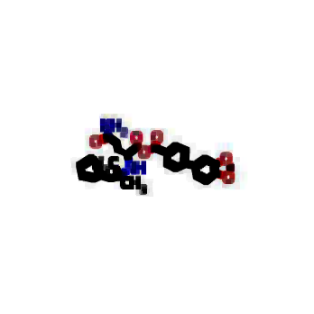 CC(C)(Cc1ccccc1)N[C@@H](CCC(N)=O)C(=O)OC(=O)c1ccc(-c2ccc3c(c2)OCO3)cc1